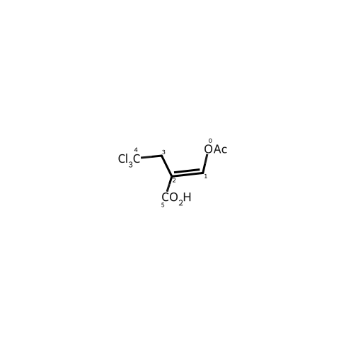 CC(=O)O/C=C(\CC(Cl)(Cl)Cl)C(=O)O